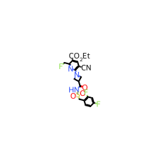 CCOC(=O)c1cc(C#N)c(N2CC(C(=O)NS(=O)(=O)Cc3ccc(F)cc3F)C2)nc1CF